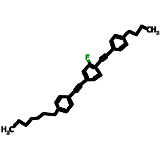 CCCCCCCc1ccc(C#Cc2ccc(C#Cc3ccc(CCCC)cc3)c(F)c2)cc1